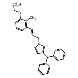 Cc1c(/C=C/Cn2cc(C(c3ccccc3)c3ccccc3)cn2)cccc1OCC(=O)O